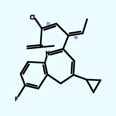 C=C(C)/C(Cl)=C\C(=C/C)C1=Nc2ccc(F)cc2CC(C2CC2)=C1